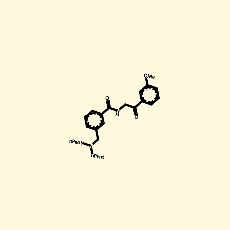 CCCCCN(CCCCC)Cc1cccc(C(=O)NCC(=O)c2cccc(OC)c2)c1